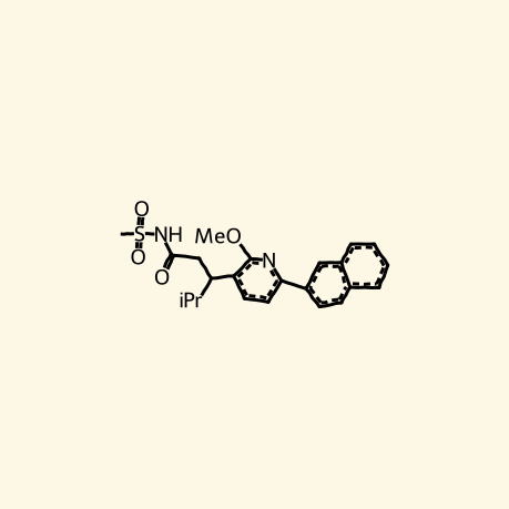 COc1nc(-c2ccc3ccccc3c2)ccc1C(CC(=O)NS(C)(=O)=O)C(C)C